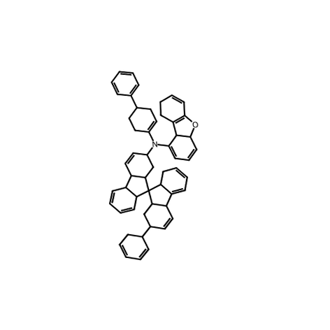 C1=CCC(C2C=CC3C4=CC=CCC4C4(C5C=CC=CC5C5C=CC(N(C6=CCC(c7ccccc7)CC6)C6=CC=CC7OC8=C(CCC=C8)C67)CC54)C3C2)C=C1